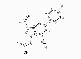 CC(=O)c1nn(CC(=O)O)c2c(C#N)cc(-c3cnc(C)nc3)cc12